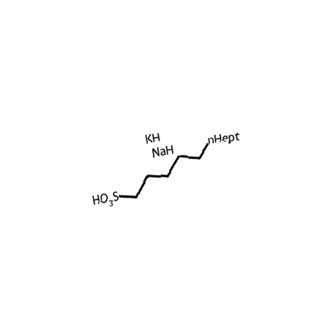 CCCCCCCCCCCCS(=O)(=O)O.[KH].[NaH]